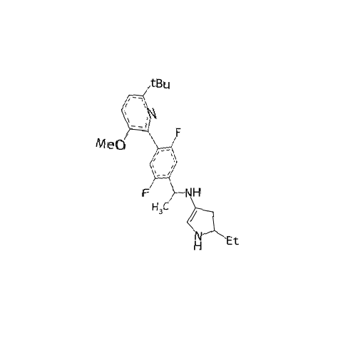 CCC1CC(NC(C)c2cc(F)c(-c3nc(C(C)(C)C)ccc3OC)cc2F)=CN1